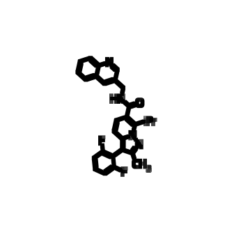 Cc1nn2c(C(C)C)c(C(=O)NCc3cnc4ccccc4c3)ccc2c1-c1c(F)cccc1F